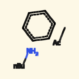 CC(C)=O.CCCCN.c1ccccc1